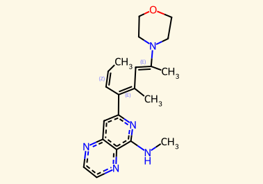 C\C=C/C(=C(C)\C=C(/C)N1CCOCC1)c1cc2nccnc2c(NC)n1